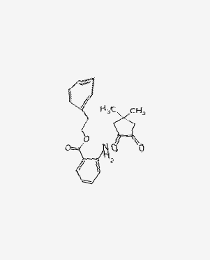 CC1(C)CC(=O)C(=O)C1.Nc1ccccc1C(=O)OCCc1ccccc1